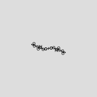 C=CC(=O)OCCNC(=O)OCCOc1ccc(C(C)(C)c2ccc(OCCOC(=O)NCCOC(=O)C=C)cc2)cc1